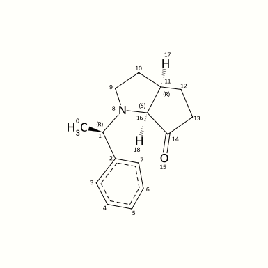 C[C@H](c1ccccc1)N1CC[C@H]2CCC(=O)[C@H]21